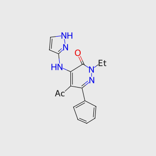 CCn1nc(-c2ccccc2)c(C(C)=O)c(Nc2cc[nH]n2)c1=O